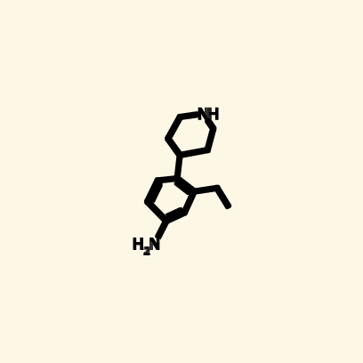 CCc1cc(N)ccc1C1CCNCC1